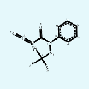 O=C=NC(=O)N(SC(F)(Cl)Cl)c1ccccc1